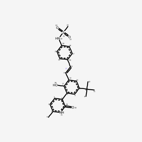 Cc1ccc(-c2cc(C(C)(C)C)cc(/C=C/c3ccc(NS(C)(=O)=O)cc3)c2O)c(=O)[nH]1